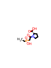 CCP(=O)(O)CC(=O)N1CCC[C@H]1C(=O)O